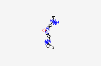 O=C(N1CC2(CC(Cn3cc(C(F)(F)F)nn3)C2)C1)N1CC2(CC(c3nc(C4CC4)n[nH]3)C2)C1